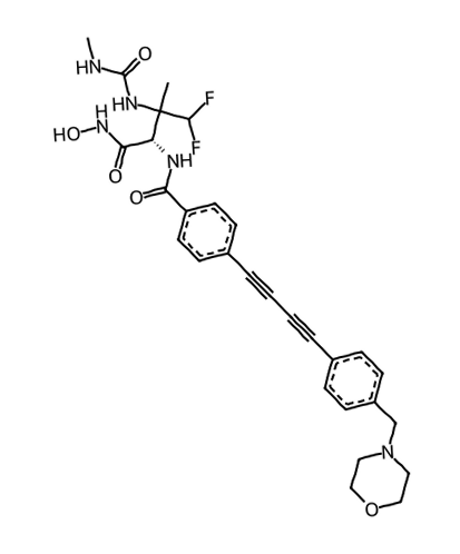 CNC(=O)NC(C)(C(F)F)[C@H](NC(=O)c1ccc(C#CC#Cc2ccc(CN3CCOCC3)cc2)cc1)C(=O)NO